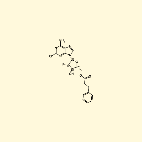 Nc1nc(Cl)nc2c1ncn2[C@@H]1O[C@H](COC(=O)CCc2ccccc2)[C@@H](O)[C@@H]1F